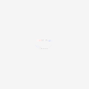 CCC#N.N=C=O